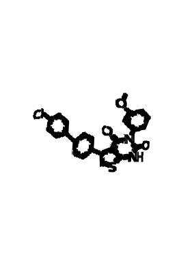 COc1cccc(-n2c(=O)[nH]c3scc(-c4ccc(-c5ccc(Cl)cc5)cc4)c3c2=O)c1